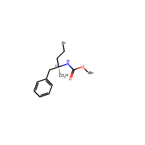 CC(=O)CC[C@](Cc1ccccc1)(NC(=O)OC(C)(C)C)C(=O)O